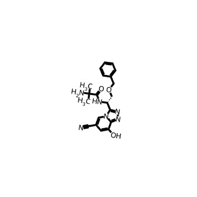 CC(C)(N)C(=O)N[C@H](COCc1ccccc1)c1nnc2c(O)cc(C#N)cn12